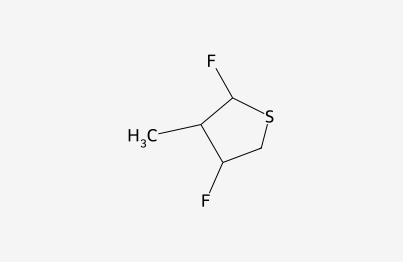 CC1C(F)CSC1F